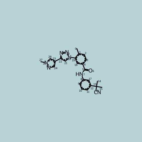 Cc1ccc(C(=O)Nc2cccc(C(C)(C)C#N)c2)cc1-n1cc(-c2cnn(C)c2)nn1